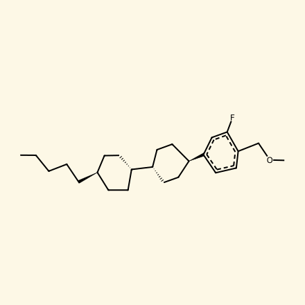 CCCCC[C@H]1CC[C@H]([C@H]2CC[C@H](c3ccc(COC)c(F)c3)CC2)CC1